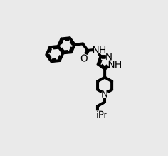 CC(C)CCN1CCC(c2cc(NC(=O)Cc3ccc4ccccc4c3)n[nH]2)CC1